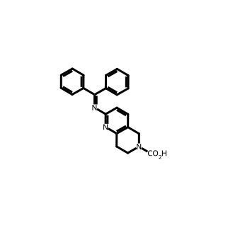 O=C(O)N1CCc2nc(N=C(c3ccccc3)c3ccccc3)ccc2C1